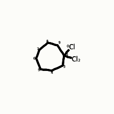 ClC1(Cl)CCCCCCC1